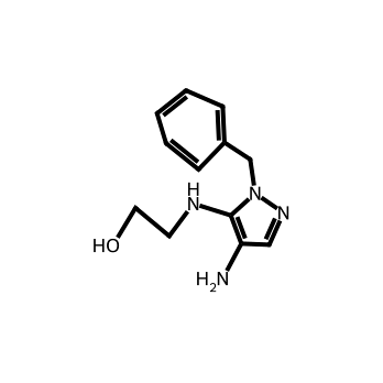 Nc1cnn(Cc2ccccc2)c1NCCO